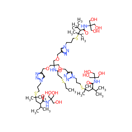 CCCSCCC(=O)NC(COCc1cn(CCCSC(C)(C)CC(C(=O)NC(CO)(CO)CO)C(C)C)nn1)(COCc1cn(CCCSC(C)(C)CC(C(=O)NC(CO)(CO)CO)C(C)C)nn1)COCc1cn(CCCSC(C)(C)C(C(=O)NC(CO)(CO)CO)C(C)C)nn1